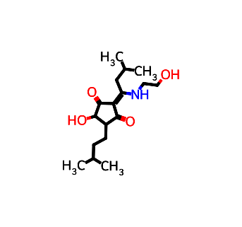 CC(C)CCC1C(=O)/C(=C(/CC(C)C)NCCO)C(=O)C1O